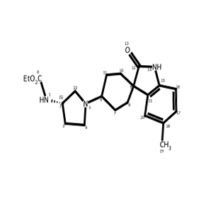 CCOC(=O)N[C@H]1CCN(C2CCC3(CC2)C(=O)Nc2ccc(C)cc23)C1